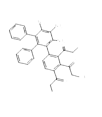 CCC(=O)c1ccc(-c2c(N)c(N)c(N)c(-c3ccccc3)c2-c2ccccc2)c(C(=O)CC)c1C(=O)CC